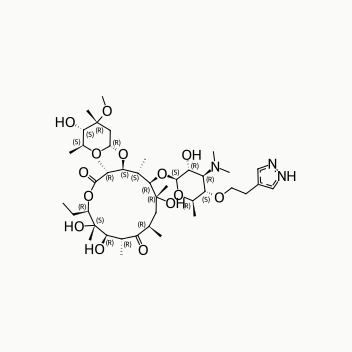 CC[C@H]1OC(=O)[C@H](C)[C@@H](O[C@H]2C[C@@](C)(OC)[C@@H](O)[C@H](C)O2)[C@H](C)[C@@H](O[C@@H]2O[C@H](C)[C@@H](OCCc3cn[nH]c3)[C@H](N(C)C)[C@H]2O)[C@](C)(O)C[C@@H](C)C(=O)[C@H](C)[C@@H](O)[C@]1(C)O